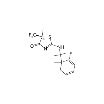 CC(C)(NC1=NC(=O)[C@@](C)(C(F)(F)F)S1)C1(C)CC=CC=C1F